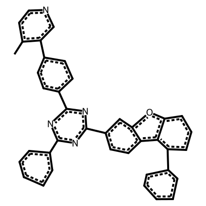 Cc1ccncc1-c1ccc(-c2nc(-c3ccccc3)nc(-c3ccc4c(c3)oc3cccc(-c5ccccc5)c34)n2)cc1